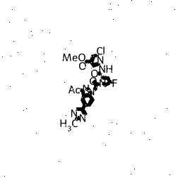 COC(=O)c1cc(Cl)nc(NC(=O)[C@@H]2C[C@@H](F)CN2C(=O)Cn2nc(C(C)=O)c3cc(-c4cnc(C)nc4)ccc32)c1